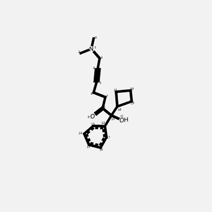 CN(C)CC#CCCC(=O)C(O)(c1ccccc1)C1CCC1